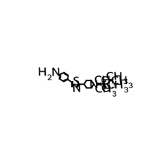 CC(C)(C)OC(=O)C(C)(C)N1CCC(c2ncc(-c3ccc(N)cc3)s2)CC1